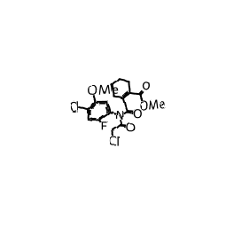 COC(=O)C1=C(C(=O)N(C(=O)CCl)c2cc(OC)c(Cl)cc2F)CCCC1